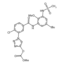 COC(=O)Oc1cn(-c2cc(C(=O)Nc3cc(C(C)(C)C)cc(NS(C)(=O)=O)c3OC)ccc2Cl)nn1